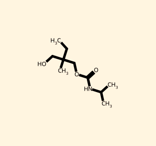 CCC(C)(CO)COC(=O)NC(C)C